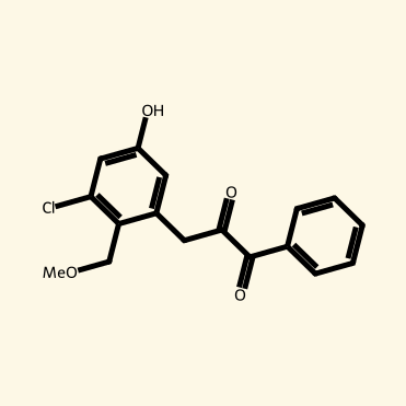 COCc1c(Cl)cc(O)cc1CC(=O)C(=O)c1ccccc1